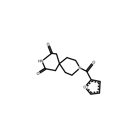 O=C1CC2(CCN(C(=O)c3ccco3)CC2)CC(=O)N1